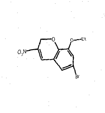 CCOc1cc(Br)cc2c1OCC([N+](=O)[O-])=C2